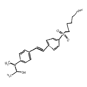 CCCCCCCCCCCCCCS(=O)(=O)c1ccc(C=Cc2ccc(N(C)C(C)O)cc2)cc1